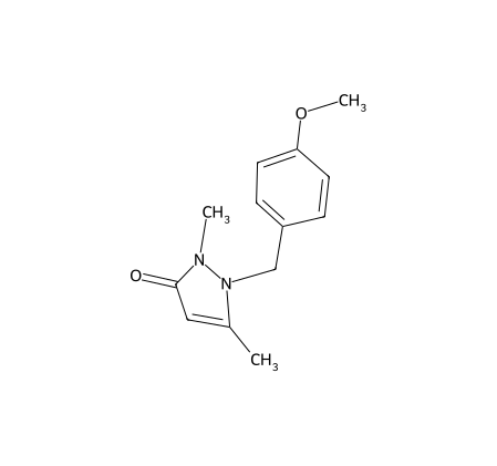 COc1ccc(Cn2c(C)cc(=O)n2C)cc1